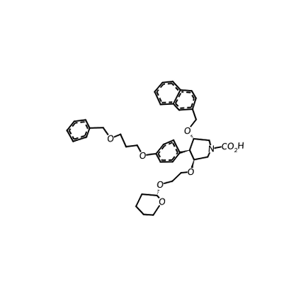 O=C(O)N1C[C@@H](OCCO[C@H]2CCCCO2)[C@@H](c2ccc(OCCCOCc3ccccc3)cc2)[C@H](OCc2ccc3ccccc3c2)C1